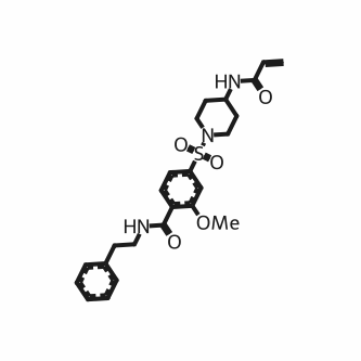 C=CC(=O)NC1CCN(S(=O)(=O)c2ccc(C(=O)NCCc3ccccc3)c(OC)c2)CC1